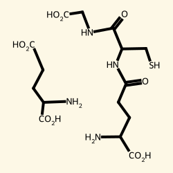 NC(CCC(=O)NC(CS)C(=O)NCC(=O)O)C(=O)O.NC(CCC(=O)O)C(=O)O